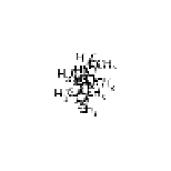 CCC(CC)Nc1cc(C)nc2c(-c3c(C)cc(C)cc3C)cc(C)n12